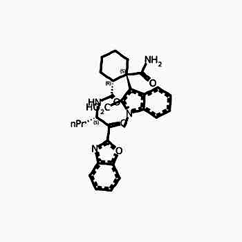 CCC[C@H](NC(=O)[C@@H]1CCCC[C@@]1(C(N)=O)c1c(C(=O)O)n(C)c2ccccc12)C(=O)c1nc2ccccc2o1